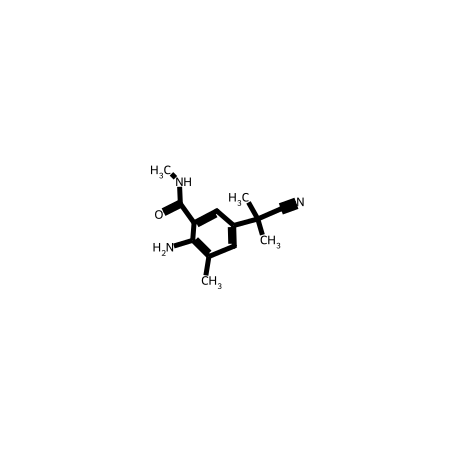 CNC(=O)c1cc(C(C)(C)C#N)cc(C)c1N